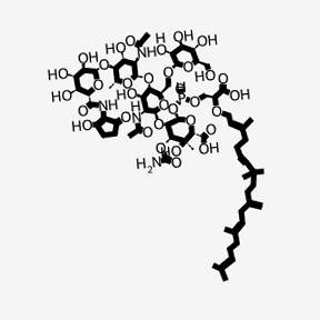 C=C(C/C=C(\C)CCC=C(C)C)CCC(C)(C)/C=C/CC/C(C)=C/CO[C@@H](CO[PH](=O)O[C@H]1O[C@H](C(=O)O)[C@@](C)(O)[C@H](OC(N)=O)[C@H]1O[C@@H]1O[C@H](CO[C@@H]2O[C@H](CO)[C@@H](O)[C@H](O)[C@H]2O)[C@@H](O[C@@H]2O[C@H](C)[C@@H](O[C@@H]3O[C@H](C(=O)NC4=C(O)CCC4=O)[C@H](O)[C@H](O)[C@H]3O)[C@H](O)[C@H]2NC(C)=O)[C@H](O)[C@H]1NC(C)=O)C(=O)O